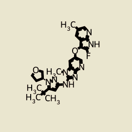 Cc1cnc2[nH]c(F)c(Oc3cnc4nc(Nc5cc(C(C)(C)C)n([C@@H]6CCOC6)n5)n(C)c4c3)c2c1